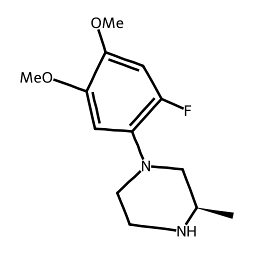 COc1cc(F)c(N2CCN[C@H](C)C2)cc1OC